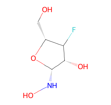 OC[C@H]1O[C@@H](NO)[C@@H](O)C1F